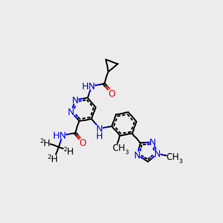 [2H]C([2H])([2H])NC(=O)c1nnc(NC(=O)C2CC2)cc1Nc1cccc(-c2ncn(C)n2)c1C